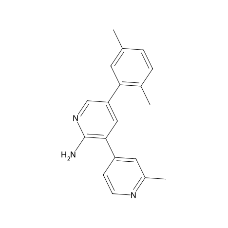 Cc1ccc(C)c(-c2cnc(N)c(-c3ccnc(C)c3)c2)c1